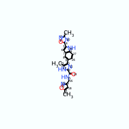 Cc1noc(-c2cc3cc(-c4nc(C(=O)NCc5cc(C)on5)[nH]c4C)ccc3[nH]2)n1